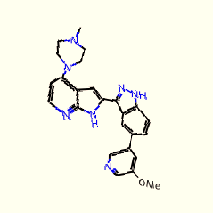 COc1cncc(-c2ccc3[nH]nc(-c4cc5c(N6CCN(C)CC6)ccnc5[nH]4)c3c2)c1